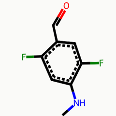 CNc1cc(F)c(C=O)cc1F